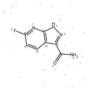 NC(=O)c1n[nH]c2nc(F)ccc12